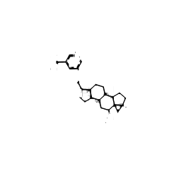 COC1C[C@H]2[C@@H]3CC[C@H]([C@H](C)Oc4cncc(C(=O)O)c4)[C@@]3(C)CC[C@@H]2[C@@]2(C)CC[C@@H]3CC132